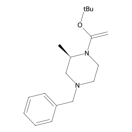 C=C(OC(C)(C)C)N1CCN(Cc2ccccc2)C[C@H]1C